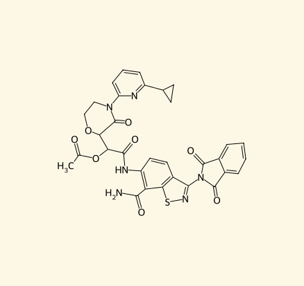 CC(=O)OC(C(=O)Nc1ccc2c(N3C(=O)c4ccccc4C3=O)nsc2c1C(N)=O)C1OCCN(c2cccc(C3CC3)n2)C1=O